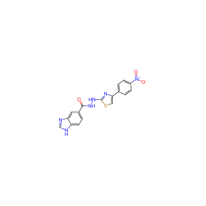 O=C(NNc1nc(-c2ccc([N+](=O)[O-])cc2)cs1)c1ccc2[nH]cnc2c1